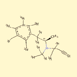 [2H]c1c([2H])c([2H])c(C([2H])([2H])[C@@H](C)N(C([2H])([2H])[2H])C([2H])([2H])C#C)c([2H])c1[2H]